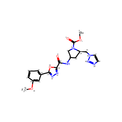 CC(C)(C)OC(=O)N1CC(NC(=O)c2nnc(-c3cccc(OC(F)(F)F)c3)o2)C[C@@H]1Cn1ccnn1